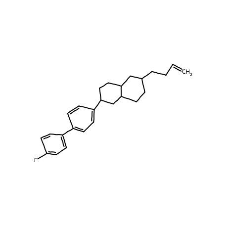 C=CCCC1CCC2CC(c3ccc(-c4ccc(F)cc4)cc3)CCC2C1